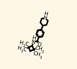 CC1(C)CC(C)(C)C1NC(=O)c1ccc(C2CCNCC2)cc1